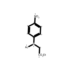 CCOC(=O)CN(C(C)=O)c1ccc([N+](=O)[O-])cc1